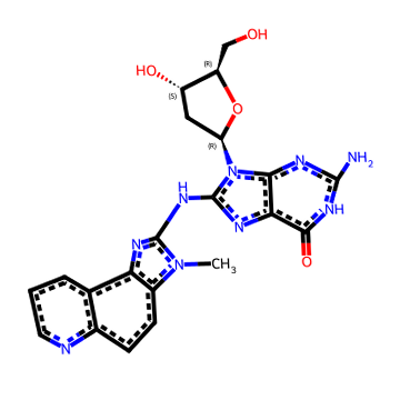 Cn1c(Nc2nc3c(=O)[nH]c(N)nc3n2[C@H]2C[C@H](O)[C@@H](CO)O2)nc2c3cccnc3ccc21